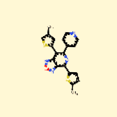 Cc1csc(-c2c(-c3ccncc3)nc(-c3ccc(C)s3)c3nonc23)c1